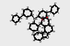 c1ccc(-c2ccc(N(c3cccc(-c4ccccc4)c3)c3ccccc3-c3cccc4ccc5oc6ccccc6c5c34)cc2)cc1